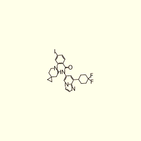 O=C(Nc1cc(C2CCC(F)(F)CC2)c2nccn2c1)c1ccc(I)cc1N1CCC2(CC1)CC2